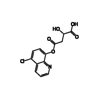 O=C(CC(O)C(=O)O)Oc1ccc(Cl)c2cccnc12